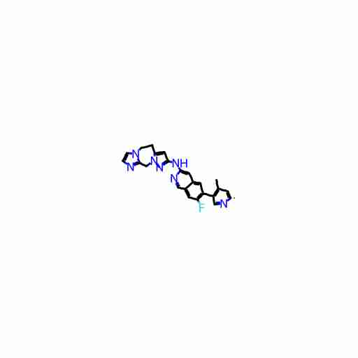 Cc1c[c]ncc1-c1cc2cc(Nc3cc4n(n3)Cc3nccn3CC4)ncc2cc1F